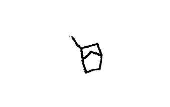 [CH2]C1CC2CCC1C2